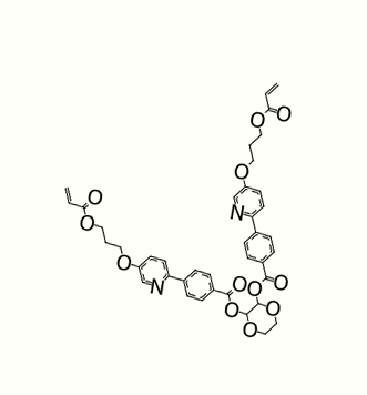 C=CC(=O)OCCCOc1ccc(-c2ccc(C(=O)OC3OCCOC3OC(=O)c3ccc(-c4ccc(OCCCOC(=O)C=C)cn4)cc3)cc2)nc1